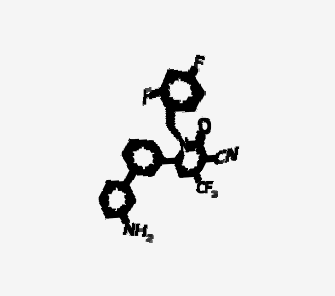 N#Cc1c(C(F)(F)F)cc(-c2cccc(-c3cccc(N)c3)c2)n(Cc2ccc(F)cc2F)c1=O